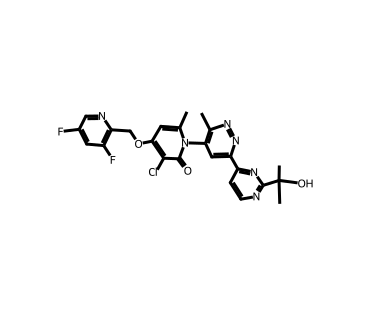 Cc1nnc(-c2ccnc(C(C)(C)O)n2)cc1-n1c(C)cc(OCc2ncc(F)cc2F)c(Cl)c1=O